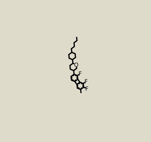 CCCCCC1CCC(C2CCC(c3ccc4c(c3F)-c3c-4cc(C)c(F)c3F)CO2)CC1